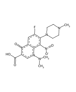 CN1CCN(c2c(F)cc3c(=O)c(C(=O)O)cn(N(C)C)c3c2[N+](=O)[O-])CC1